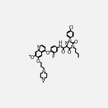 CCCCn1c(=O)c(C(=O)Nc2ccc(Oc3ccnc4cc(OC)c(OCCCN5CCN(C)CC5)cc34)c(F)c2)nn(-c2ccc(Cl)cc2)c1=O